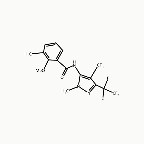 COc1c(C)cccc1C(=O)Nc1c(C(F)(F)F)c(C(F)(F)C(F)(F)F)nn1C